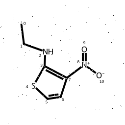 [CH2]CNc1sccc1[N+](=O)[O-]